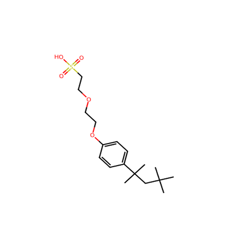 CC(C)(C)CC(C)(C)c1ccc(OCCOCCS(=O)(=O)O)cc1